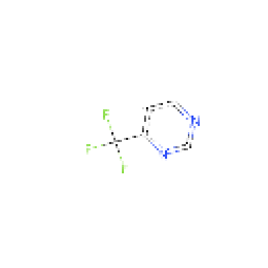 FC(F)(F)c1[c]cncn1